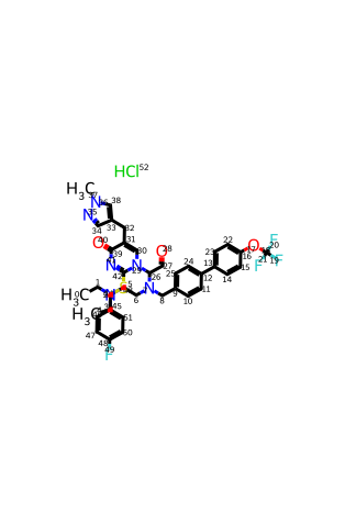 CCN(CC)CCN(Cc1ccc(-c2ccc(OC(F)(F)F)cc2)cc1)C(C=O)n1cc(Cc2cnn(C)c2)c(=O)nc1SCc1ccc(F)cc1.Cl